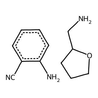 N#Cc1ccccc1N.NCC1CCCO1